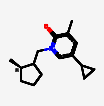 Cc1cc(C2CC2)cn(CC2CCC[C@H]2C)c1=O